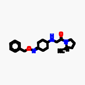 N#C[C@@H]1CCCN1C(=O)CNC1CCC(=NOCc2ccccc2)CC1